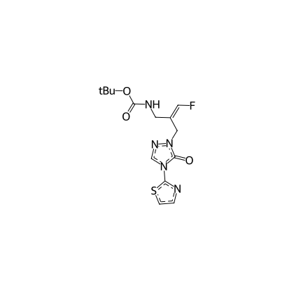 CC(C)(C)OC(=O)NC/C(=C/F)Cn1ncn(-c2nccs2)c1=O